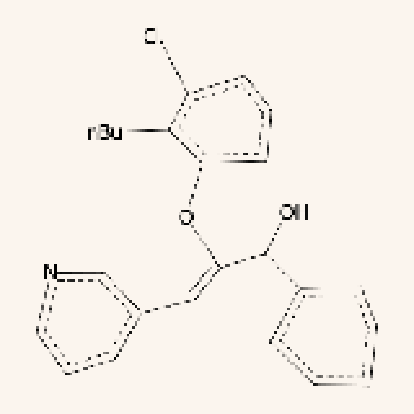 CCCCc1c(Cl)cccc1OC(=Cc1cccnc1)C(O)c1ccccc1